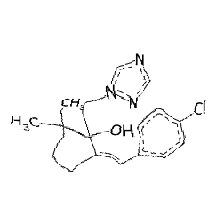 CC1(C)CCC(=Cc2ccc(Cl)cc2)C1(O)Cn1cncn1